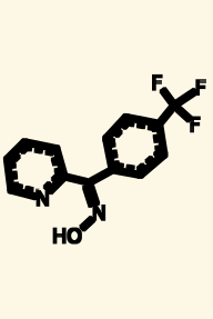 ON=C(c1ccc(C(F)(F)F)cc1)c1ccccn1